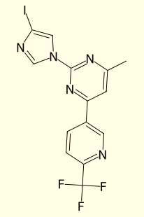 Cc1cc(-c2ccc(C(F)(F)F)nc2)nc(-n2cnc(I)c2)n1